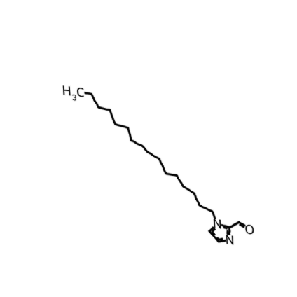 CCCCCCCCCCCCCCCCn1ccnc1C=O